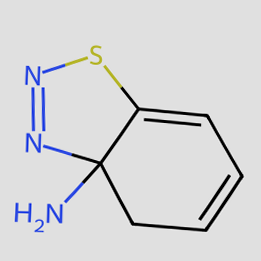 NC12CC=CC=C1SN=N2